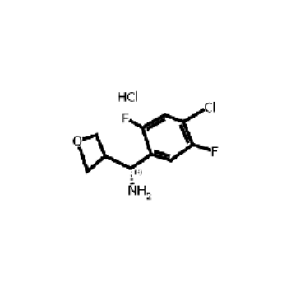 Cl.N[C@@H](c1cc(F)c(Cl)cc1F)C1COC1